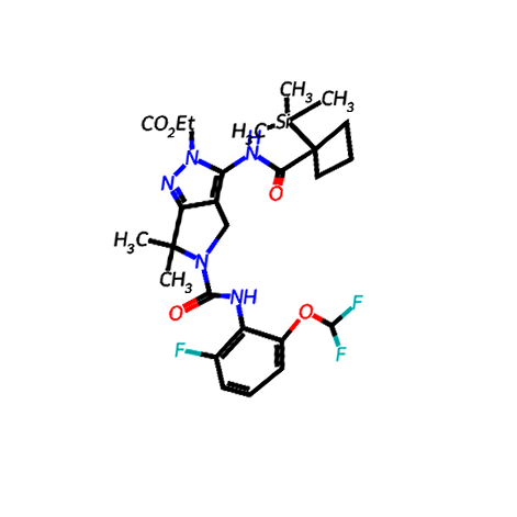 CCOC(=O)n1nc2c(c1NC(=O)C1([Si](C)(C)C)CCC1)CN(C(=O)Nc1c(F)cccc1OC(F)F)C2(C)C